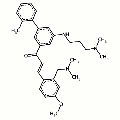 COc1ccc(C=CC(=O)c2cc(NCCCN(C)C)cc(-c3ccccc3C)c2)c(CN(C)C)c1